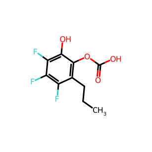 CCCc1c(F)c(F)c(F)c(O)c1OC(=O)O